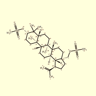 C=C(C)[C@@H]1CC[C@]2(COS(C)(=O)=O)CC[C@]3(C)[C@H](CC[C@@H]4[C@@]5(C)CC[C@H](OS(C)(=O)=O)C(C)(C)[C@@H]5CC[C@]43C)[C@@H]12